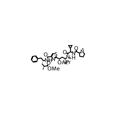 COC(=O)[C@@H](C)C[C@H](Cc1ccccc1)NC(=O)c1csc([C@@H](C[C@H](C(C)C)N(C)C(=O)C(NC(=O)C2CCCN2C)C2CC2)OC(C)=O)n1